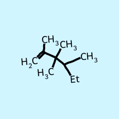 C=C(C)C(C)(C)C(C)CC